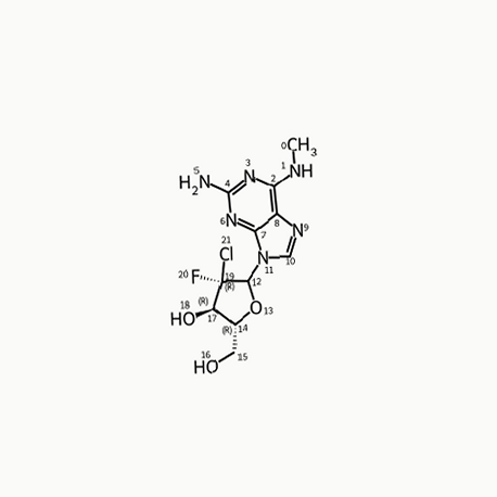 CNc1nc(N)nc2c1ncn2C1O[C@H](CO)[C@@H](O)[C@@]1(F)Cl